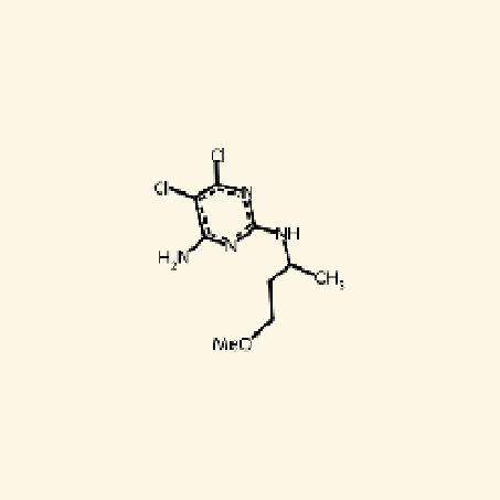 COCCC(C)Nc1nc(N)c(Cl)c(Cl)n1